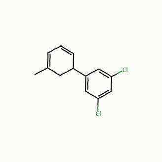 CC1=CC=CC(c2cc(Cl)cc(Cl)c2)C1